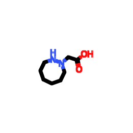 O=C(O)CN1CCCCCCN1